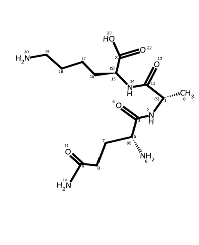 C[C@H](NC(=O)[C@H](N)CCC(N)=O)C(=O)N[C@@H](CCCCN)C(=O)O